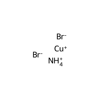 [Br-].[Br-].[Cu+].[NH4+]